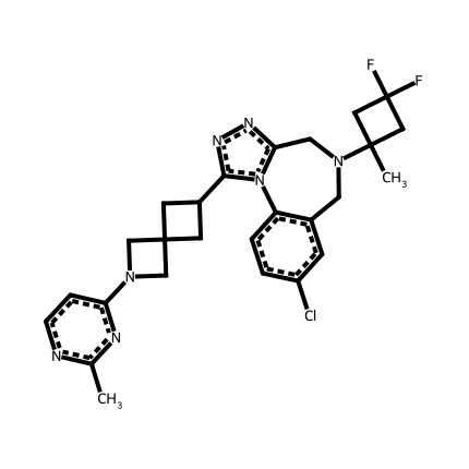 Cc1nccc(N2CC3(CC(c4nnc5n4-c4ccc(Cl)cc4CN(C4(C)CC(F)(F)C4)C5)C3)C2)n1